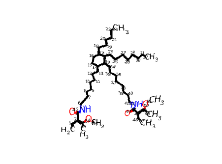 C=CC(C(=O)NCCCCCCCCC1CCC(CCCCCC)C(CCCCCCCC)C1CCCCCCCCNC(=O)C(CC)=C(C)OC)=C(C)OC